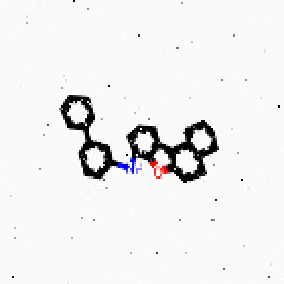 c1ccc(-c2cccc(Nc3cccc4c3oc3ccc5ccccc5c34)c2)cc1